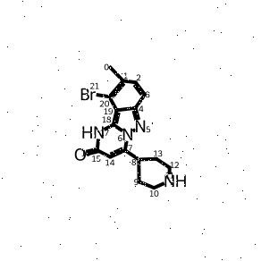 Cc1ccc2nn3c(C4CCNCC4)cc(=O)[nH]c3c2c1Br